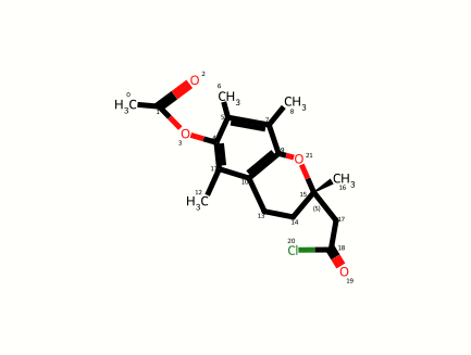 CC(=O)Oc1c(C)c(C)c2c(c1C)CC[C@@](C)(CC(=O)Cl)O2